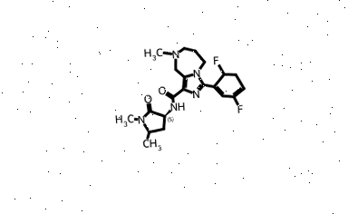 CC1C[C@H](NC(=O)c2nc(C3=CC(F)=CCC3F)n3c2CN(C)CCC3)C(=O)N1C